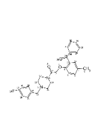 Cc1ccc(OCC(=O)N2CCN(Cc3ccc(F)cc3)CC2)c(C(=O)c2ccccc2)c1